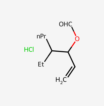 C=CC(OC=O)C(CC)CCC.Cl